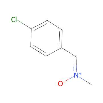 C[N+]([O-])=Cc1ccc(Cl)cc1